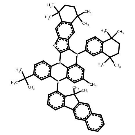 Cc1cc2c3c(c1)N(c1ccc4c(c1)C(C)(C)CCC4(C)C)c1c(sc4cc5c(cc14)C(C)(C)CCC5(C)C)B3c1ccc(C(C)(C)C)cc1N2c1cccc2c1C(C)(C)c1cc3ccccc3cc1-2